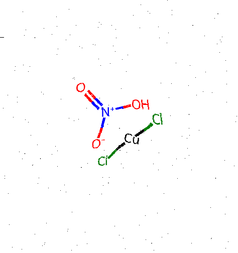 O=[N+]([O-])O.[Cl][Cu][Cl]